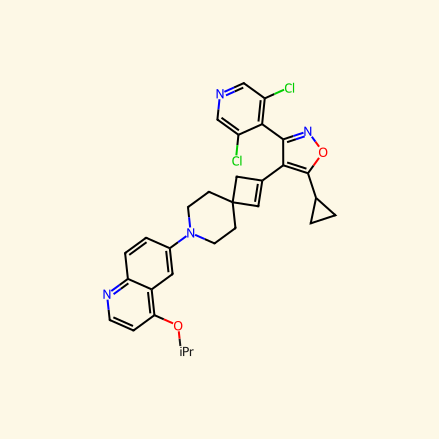 CC(C)Oc1ccnc2ccc(N3CCC4(C=C(c5c(-c6c(Cl)cncc6Cl)noc5C5CC5)C4)CC3)cc12